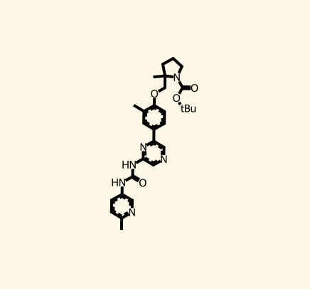 Cc1ccc(NC(=O)Nc2cncc(-c3ccc(OCC4(C)CCCN4C(=O)OC(C)(C)C)c(C)c3)n2)cn1